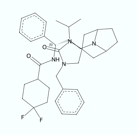 CC(C)N1C(=O)N(Cc2ccccc2)CC12CC1CCC(C2)N1CC[C@H](NC(=O)C1CCC(F)(F)CC1)c1ccccc1